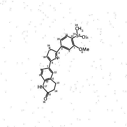 COc1cc(-c2nc(-c3ccc4c(c3)CCC(=O)N4)cs2)ccc1[S+](C)[O-]